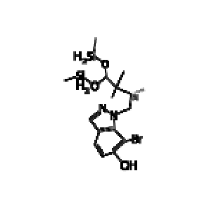 C[SiH2]OC(O[SiH2]C)C(C)(C)[C@H](C)Cn1ncc2ccc(O)c(Br)c21